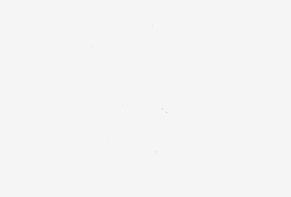 Cc1cc2c3ccccc3n(C)c2cc1C